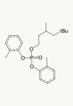 Cc1ccccc1OP(=O)(OCCC(C)CC(C)(C)C)Oc1ccccc1C